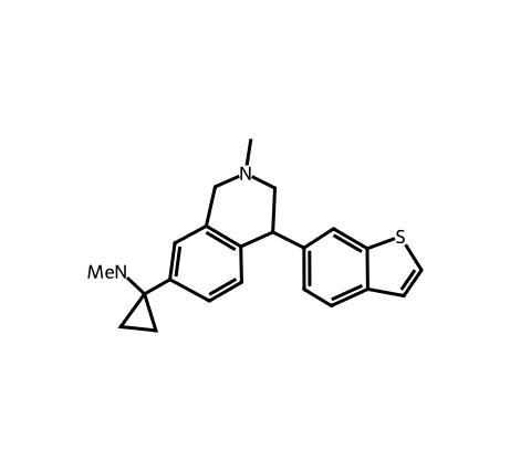 CNC1(c2ccc3c(c2)CN(C)CC3c2ccc3ccsc3c2)CC1